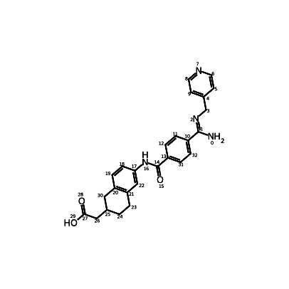 NC(=NCc1ccncc1)c1ccc(C(=O)Nc2ccc3c(c2)CCC(CC(=O)O)C3)cc1